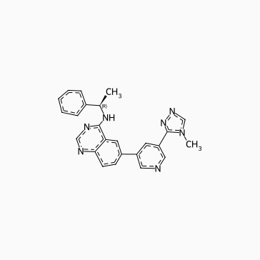 C[C@@H](Nc1ncnc2ccc(-c3cncc(-c4nncn4C)c3)cc12)c1ccccc1